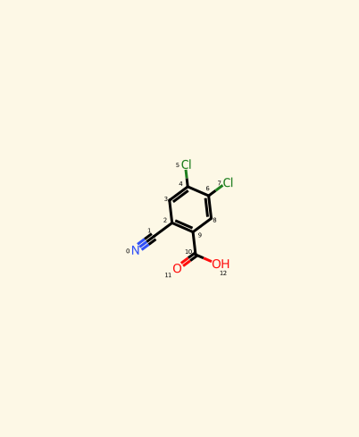 N#Cc1cc(Cl)c(Cl)cc1C(=O)O